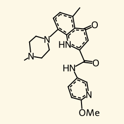 COc1ccc(NC(=O)c2cc(=O)c3c(C)ccc(N4CCN(C)CC4)c3[nH]2)cn1